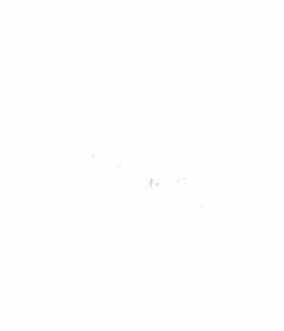 O=C(NC1CN2CCC1CC2)c1ccc2c(c1)OCO2